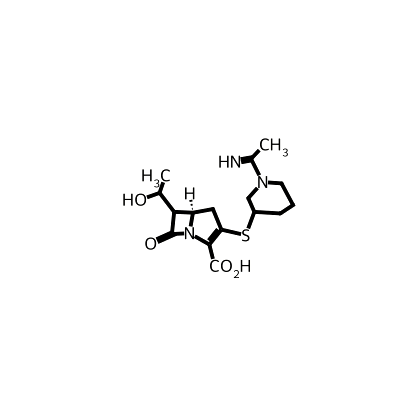 CC(=N)N1CCCC(SC2=C(C(=O)O)N3C(=O)C(C(C)O)[C@H]3C2)C1